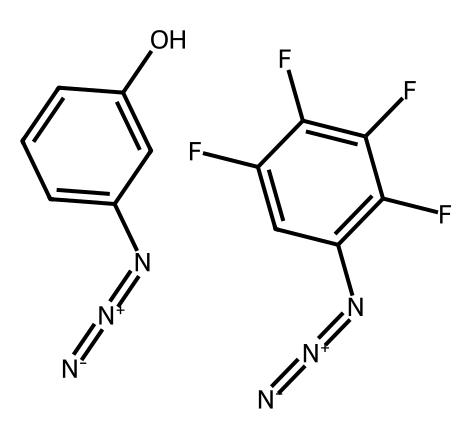 [N-]=[N+]=Nc1cc(F)c(F)c(F)c1F.[N-]=[N+]=Nc1cccc(O)c1